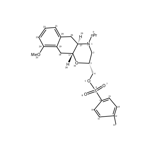 CCCN1C[C@H](COS(=O)(=O)c2ccc(C)cc2)O[C@@H]2Cc3c(cccc3OC)C[C@H]21